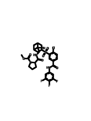 COC(=O)N1CCCC1C(=O)NCC1(O)C2CC1CC(S(=O)(=O)c1cc(C(=O)Nc3cc(F)c(F)c(F)c3)ccc1Cl)C2